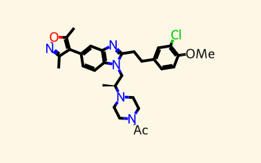 COc1ccc(CCc2nc3cc(-c4c(C)noc4C)ccc3n2C[C@H](C)N2CCN(C(C)=O)CC2)cc1Cl